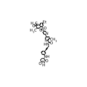 CCc1cc(S(=O)(=O)c2ccc(-c3cnc(C(=O)NCC#Cc4cccc(NC5CCC(=O)NC5=O)c4)c(C)c3)nc2)c2cc(C)c(=O)n(C)c2c1